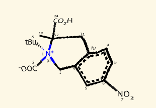 CC(C)(C)[N@@+]1(C(=O)[O-])Cc2cc([N+](=O)[O-])ccc2CC1(C)C(=O)O